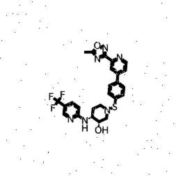 Cc1nc(-c2cc(-c3ccc(SN4CC[C@@H](Nc5ccc(C(F)(F)F)cn5)[C@@H](O)C4)cc3)ccn2)no1